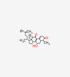 C=C(CCC(C)C1CCC2C3=C(C(=O)CC21C)C1=CCC(=O)C(C)C1CC3O)C(C)C